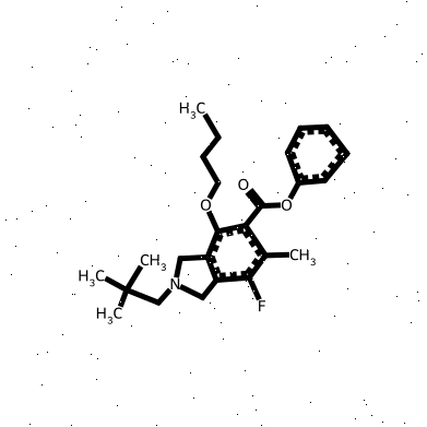 CCCCOc1c2c(c(F)c(C)c1C(=O)Oc1ccccc1)CN(CC(C)(C)C)C2